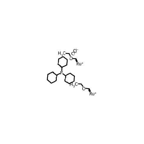 C1CCC(P(C2CCCCC2)C2CCCCC2)CC1.CCO[CH]=[Ru+].CCO[CH]=[Ru+].[Cl-].[Cl-]